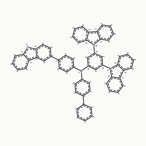 c1ccc(-c2ccc(N(c3ccc(-c4ccc5oc6ccccc6c5c4)cc3)c3cc(-n4c5ccccc5c5ccccc54)cc(-n4c5ccccc5c5ccccc54)c3)cc2)cc1